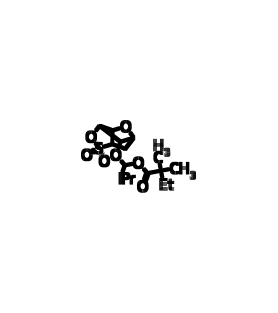 CCC(C)(C)C(=O)OC(OC1C2CC3C(O2)C1OS3(=O)=O)C(C)C